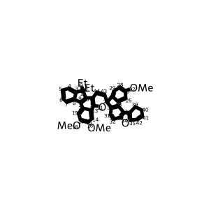 CCC1(CC)c2ccccc2-c2c1c1c(c3cc(OC)c(OC)cc23)OC(c2ccc(OC)cc2)(c2ccc3oc4c(c3c2)CCC=C4)C=C1